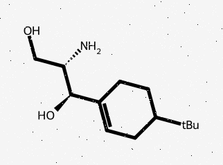 CC(C)(C)C1CC=C([C@@H](O)[C@@H](N)CO)CC1